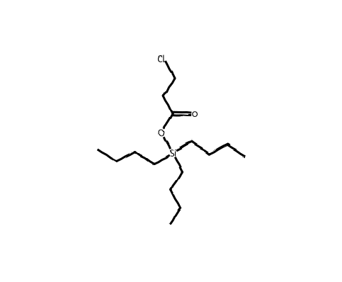 CCCC[Si](CCCC)(CCCC)OC(=O)CCCl